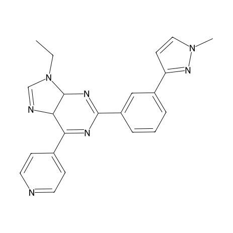 CCN1C=NC2C(c3ccncc3)=NC(c3cccc(-c4ccn(C)n4)c3)=NC21